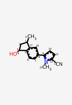 CC1CC(O)c2ccc(-c3ccc(C#N)n3C)cc21